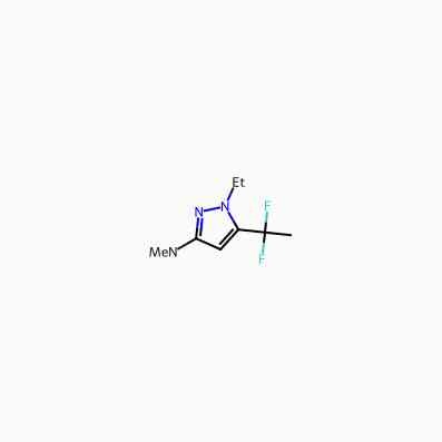 CCn1nc(NC)cc1C(C)(F)F